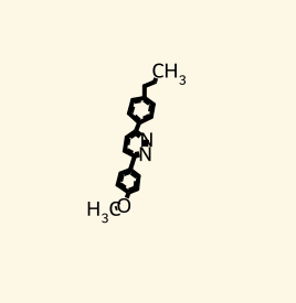 CCCc1ccc(-c2ccc(-c3ccc(OC)cc3)nn2)cc1